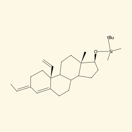 C=C[C@]12CCC(=CC)C=C1CCC1C2CC[C@@]2(C)C1CC[C@@H]2O[Si](C)(C)C(C)(C)C